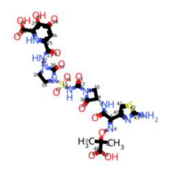 CC(C)(O/N=C(\C(=O)N[C@H]1CN(C(=O)NS(=O)(=O)N2CCN(NC(=O)c3cc(=O)c(O)c(C(=O)O)[nH]3)C2=O)C1=O)c1csc(N)n1)C(=O)O